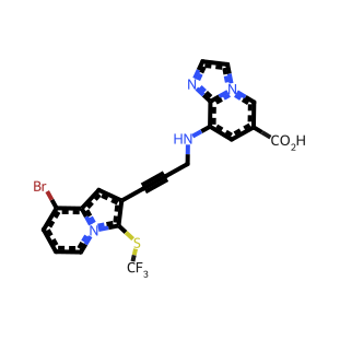 O=C(O)c1cc(NCC#Cc2cc3c(Br)cccn3c2SC(F)(F)F)c2nccn2c1